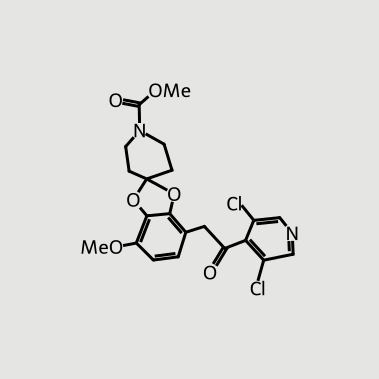 COC(=O)N1CCC2(CC1)Oc1c(CC(=O)c3c(Cl)cncc3Cl)ccc(OC)c1O2